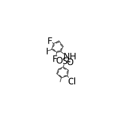 Cc1ccc(S(=O)(=O)Nc2ccc(F)c(I)c2F)cc1Cl